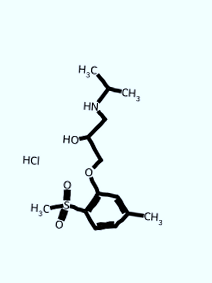 Cc1ccc(S(C)(=O)=O)c(OCC(O)CNC(C)C)c1.Cl